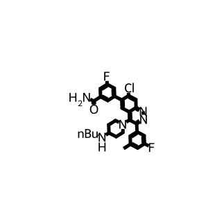 CCCCNC1CCN(c2c(-c3cc(C)cc(F)c3)nnc3cc(Cl)c(-c4cc(F)cc(C(N)=O)c4)cc23)CC1